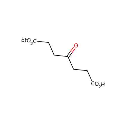 CCOC(=O)CCC(=O)CCC(=O)O